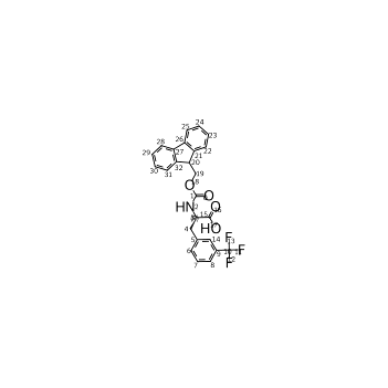 O=C(N[C@H](Cc1cccc(C(F)(F)F)c1)C(=O)O)OCC1c2ccccc2-c2ccccc21